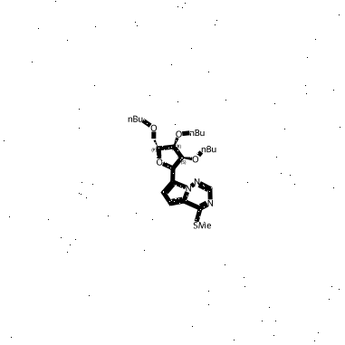 CCCCOC[C@H]1OC(c2ccc3c(SC)ncnn23)[C@H](OCCCC)[C@@H]1OCCCC